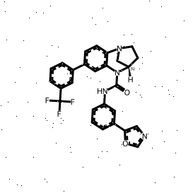 O=C(Nc1cccc(-c2cnco2)c1)N1c2cc(-c3cccc(C(F)(F)F)c3)ccc2N2CC[C@H]1C2